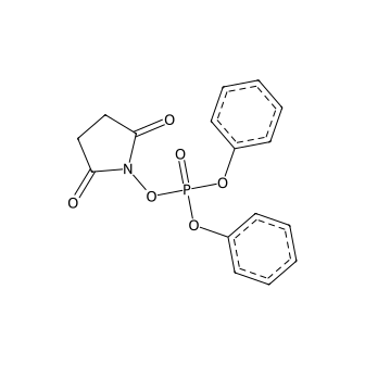 O=C1CCC(=O)N1OP(=O)(Oc1ccccc1)Oc1ccccc1